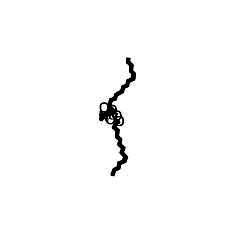 CCCC/C=C\CCCCCCCC(=O)OP(=O)(C[N+](C)(C)C)OC(=O)CCCCCCC/C=C\CCCC